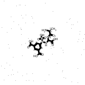 C[C@H](N)C(=O)NC(NN(c1cc(C(=O)O)cc(C(=O)O)c1)S(=O)(=O)O)C(=O)O